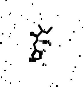 CCC(C)C(=O)[C@H](N)Cc1c[nH]cn1